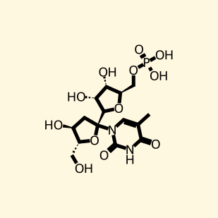 Cc1cn([C@@]2(C3O[C@H](COP(=O)(O)O)[C@@H](O)[C@H]3O)C[C@H](O)[C@@H](CO)O2)c(=O)[nH]c1=O